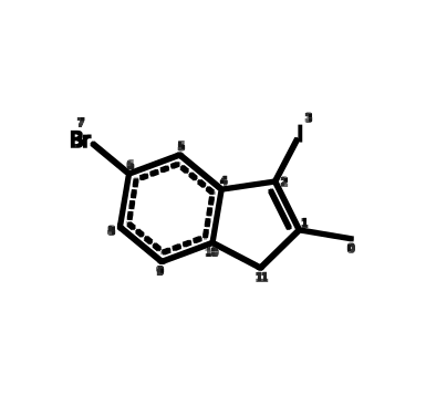 CC1=C(I)c2cc(Br)ccc2C1